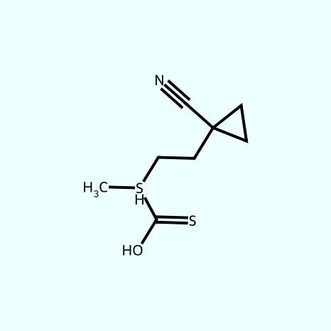 C[SH](CCC1(C#N)CC1)C(O)=S